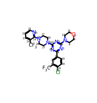 FC(F)(F)c1cc(-c2nc(N3CCOCC3)nc(N3CCN(c4ncccc4C(F)(F)F)CC3)n2)ccc1Cl